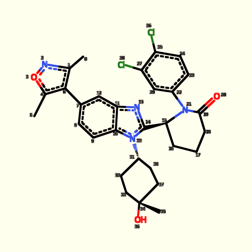 Cc1noc(C)c1-c1ccc2c(c1)nc([C@@H]1CCCC(=O)N1c1ccc(Cl)c(Cl)c1)n2[C@H]1CC[C@@](C)(O)CC1